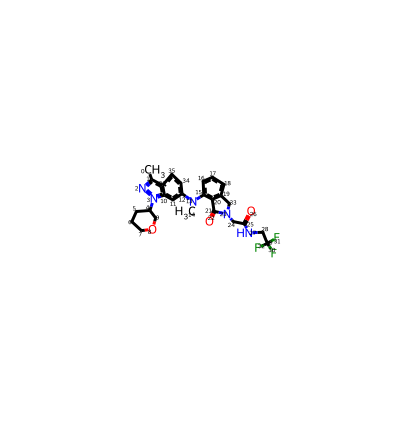 Cc1nn(C2CCCOC2)c2cc(N(C)c3cccc4c3C(=O)N(CC(=O)NCC(F)(F)F)C4)ccc12